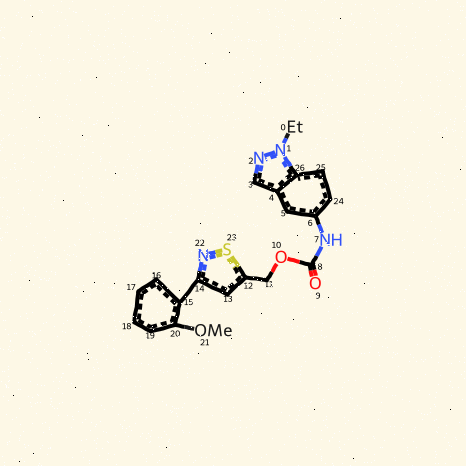 CCn1ncc2cc(NC(=O)OCc3cc(-c4ccccc4OC)ns3)ccc21